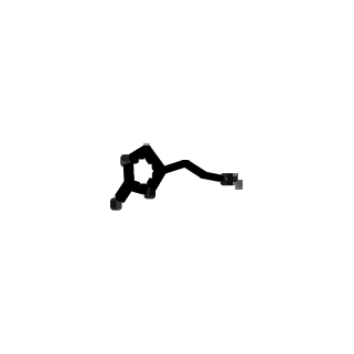 CCCc1[c]oc(=O)o1